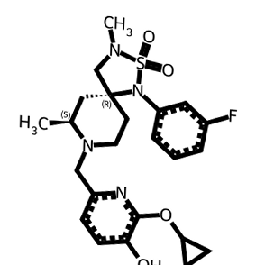 C[C@H]1C[C@]2(CCN1Cc1ccc(O)c(OC3CC3)n1)CN(C)S(=O)(=O)N2c1cccc(F)c1